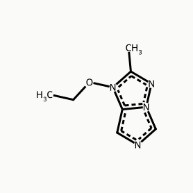 CCOn1c(C)nn2cncc12